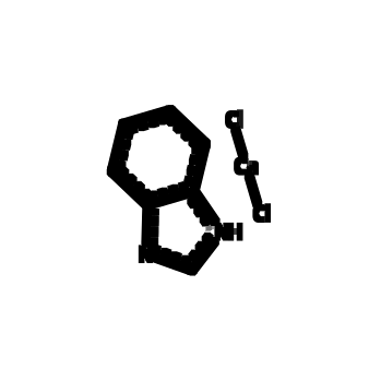 [Cl][Ca][Cl].c1ccc2[nH]cnc2c1